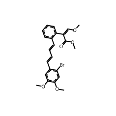 COC=C(C(=O)OC)c1ccccc1C=CC=Cc1cc(OC)c(OC)cc1Br